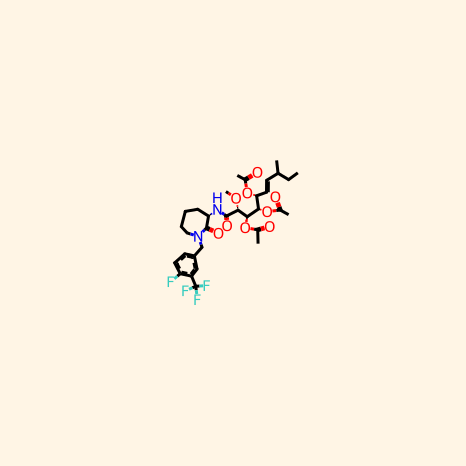 CCC(C)/C=C/[C@@H](OC(C)=O)[C@H](OC(C)=O)[C@@H](OC(C)=O)[C@@H](OC)C(=O)N[C@H]1CCCCN(Cc2ccc(F)c(C(F)(F)F)c2)C1=O